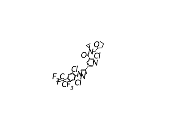 O=C(c1cc(-c2cnn(-c3c(Cl)cc(C(F)(C(F)(F)F)C(F)(F)F)cc3Cl)c2)cnc1Cl)N(CC1CCCO1)C1CC1